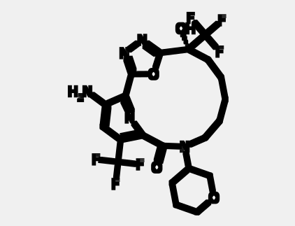 Nc1cc(C(F)(F)F)c2nc1-c1nnc(o1)[C@@](O)(C(F)(F)F)CCCCCN(C1CCCOC1)C2=O